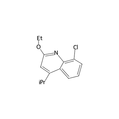 CCOc1cc(C(C)C)c2cccc(Cl)c2n1